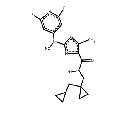 [2H]N(CC1(CC2CC2)CC1)C(=O)c1nc(N(C#N)c2cc(F)nc(F)c2)sc1C